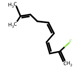 C=C(F)/C=C\C=C/CC=C(C)C